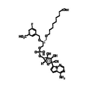 CCCCCCCCCCCCCCCCCCOC[C@H](COP(=O)(O)OC1[C@H]2O[C@@](C#N)(c3ccc4c(N)ncnn34)[C@H](O)[C@@]12O)OCc1cc(F)cc(C(=O)O)c1